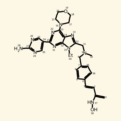 C=C(/C=C/c1ccc(CN(C)Cc2nc3c(N4CCOCC4)nc(-c4cnc(N)nc4)nc3n2CC)cc1)NO